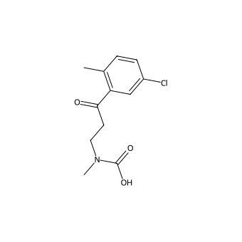 Cc1ccc(Cl)cc1C(=O)CCN(C)C(=O)O